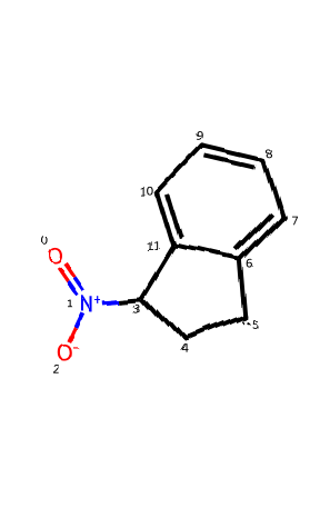 O=[N+]([O-])C1C[C]c2ccccc21